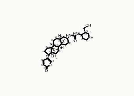 C[C@]12CC[C@H](NC(=O)NC3CCNC[C@@H]3CO)C[C@H]1CC[C@@H]1[C@@H]2CC[C@]2(C)[C@@H](c3ccc(=O)oc3)CC[C@]12O